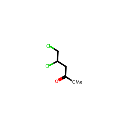 COC(=O)CC(Cl)CCl